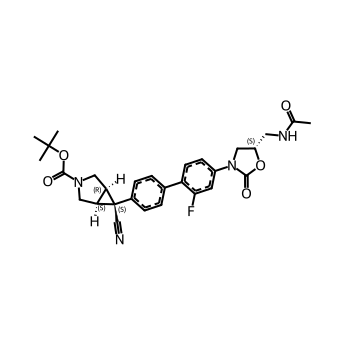 CC(=O)NC[C@H]1CN(c2ccc(-c3ccc([C@@]4(C#N)[C@@H]5CN(C(=O)OC(C)(C)C)C[C@@H]54)cc3)c(F)c2)C(=O)O1